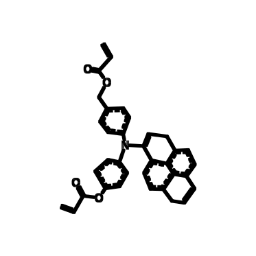 C=CC(=O)OCc1ccc(N(C2=CCc3ccc4c5c(ccc2c35)CC=C4)c2ccc(OC(=O)C=C)cc2)cc1